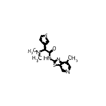 Cc1cncc2sc(NC(=O)C(c3ccsc3)N(C)C)nc12